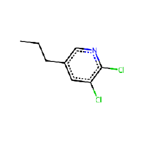 CCCc1cnc(Cl)c(Cl)c1